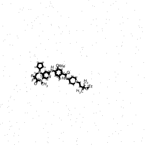 CCOC(C)(C)CCN1CCC(NC(=O)c2cc(OC)c(Nc3cc4c(cn3)N(C)C(=O)C(F)(F)CN4C3CCCC3)cc2F)CC1